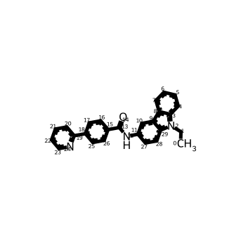 CCn1c2ccccc2c2cc(NC(=O)c3ccc(-c4ccccn4)cc3)ccc21